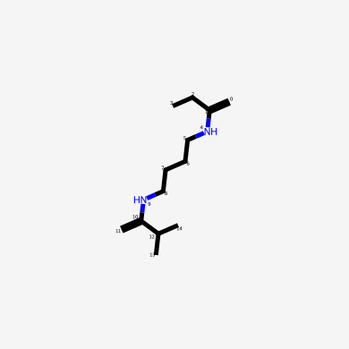 C=C(CC)NCCCCNC(=C)C(C)C